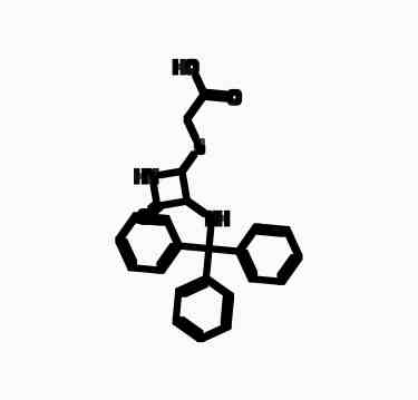 O=C(O)CSC1NC(=O)C1NC(c1ccccc1)(c1ccccc1)c1ccccc1